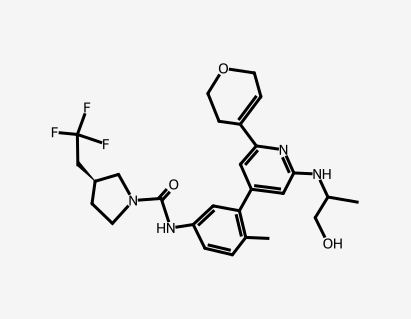 Cc1ccc(NC(=O)N2CC[C@@H](CC(F)(F)F)C2)cc1-c1cc(NC(C)CO)nc(C2=CCOCC2)c1